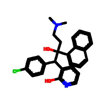 CN(C)CCC(O)(C1=C=C=Cc2ccccc21)C(c1ccc(Cl)cc1)c1cccnc1O